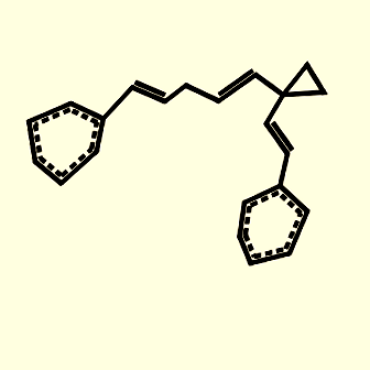 C(=Cc1ccccc1)CC=CC1(C=Cc2ccccc2)CC1